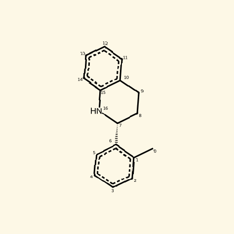 Cc1ccccc1[C@H]1CCc2ccccc2N1